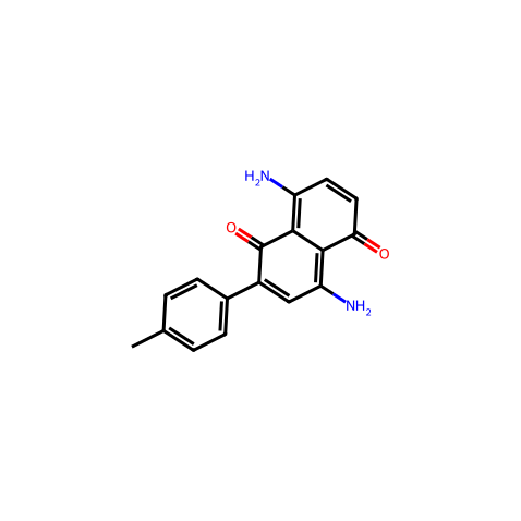 Cc1ccc(C2=CC(N)=C3C(=O)C=CC(N)=C3C2=O)cc1